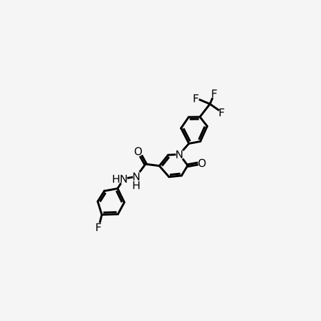 O=C(NNc1ccc(F)cc1)c1ccc(=O)n(-c2ccc(C(F)(F)F)cc2)c1